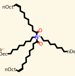 CCCCCCCC/C=C\CCCCCCCC(=O)[N+](CCCCCCCCCCCCCCCCCC)(CCCCCCCCCCCCCCCCCC)C(=O)CCCCCCC/C=C\CCCCCCCC.[Br-]